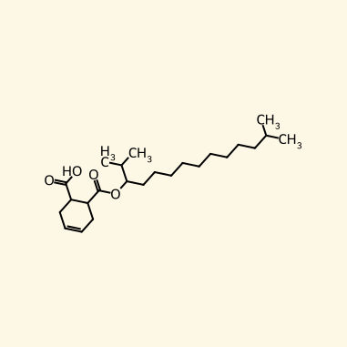 CC(C)CCCCCCCCCC(OC(=O)C1CC=CCC1C(=O)O)C(C)C